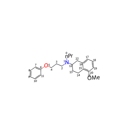 CCCN(CCCOc1ccccc1)C1CCc2c(cccc2OC)C1